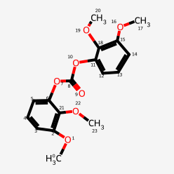 COc1cccc(OC(=O)Oc2cccc(OC)c2OC)c1OC